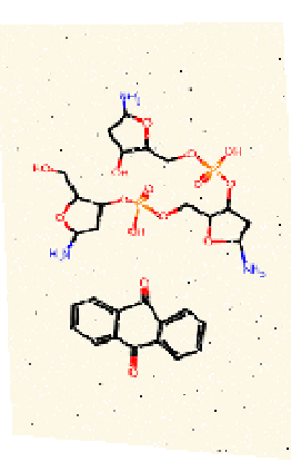 NC1CC(O)C(COP(=O)(O)OC2CC(N)OC2COP(=O)(O)OC2CC(N)OC2CO)O1.O=C1c2ccccc2C(=O)c2ccccc21